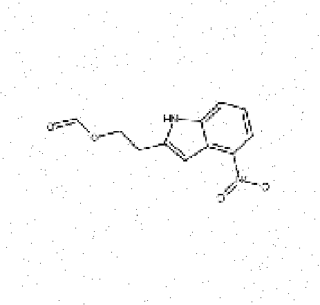 O=COCCc1cc2c([N+](=O)[O-])cccc2[nH]1